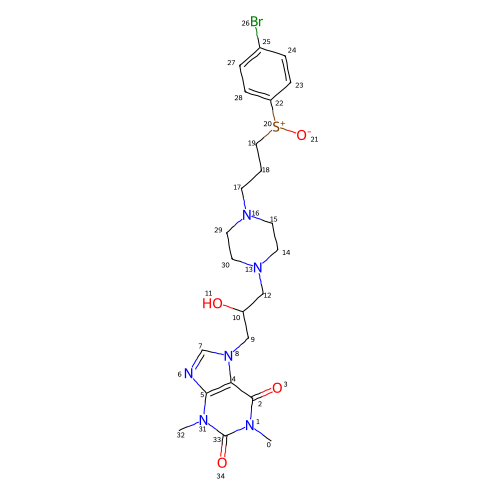 Cn1c(=O)c2c(ncn2CC(O)CN2CCN(CCC[S+]([O-])c3ccc(Br)cc3)CC2)n(C)c1=O